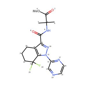 COC(=O)C(C)(C)NC(=O)c1nn(-c2cnccn2)c2c1CCCC2(F)F